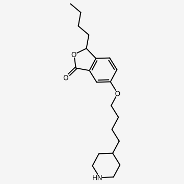 CCCCC1OC(=O)c2cc(OCCCCC3CCNCC3)ccc21